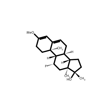 COC1=CC2=CC[C@@H]3[C@H]([C@@H](F)C[C@@]4(C)[C@H]3CC[C@]4(C)O)[C@@]2(C)CC1